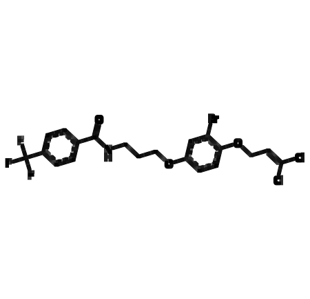 O=C(NCCCOc1ccc(OCC=C(Cl)Cl)c(Br)c1)c1ccc(C(F)(F)F)cc1